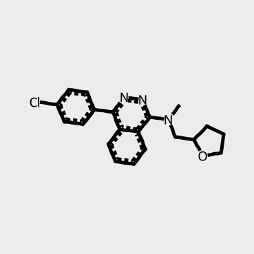 CN(CC1CCCO1)c1nnc(-c2ccc(Cl)cc2)c2ccccc12